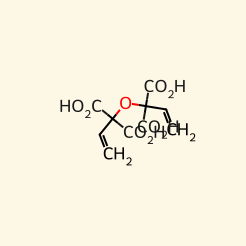 C=CC(OC(C=C)(C(=O)O)C(=O)O)(C(=O)O)C(=O)O